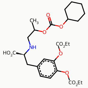 CCOC(=O)Oc1ccc(C[C@H](NCC(C)OC(=O)OC2CCCCC2)C(=O)O)cc1OC(=O)OCC